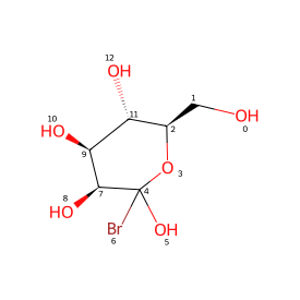 OC[C@H]1OC(O)(Br)[C@@H](O)[C@@H](O)[C@@H]1O